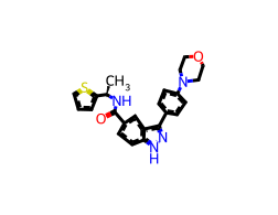 C[C@@H](NC(=O)c1ccc2[nH]nc(-c3ccc(N4CCOCC4)cc3)c2c1)c1cccs1